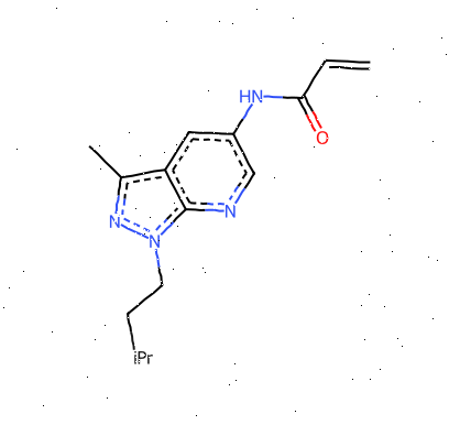 C=CC(=O)Nc1cnc2c(c1)c(C)nn2CCC(C)C